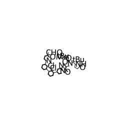 COc1nc(-c2cccc(-c3cccc(-c4ccn5c(=O)c(CN(C(=O)OC(C)(C)C)[C@H](C6CCC(=O)N6)C(C)(C)C)cnc5c4)c3Cl)c2Cl)ccc1C=O